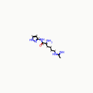 CC(=N)NCCCC[C@H](N)C(=O)Nc1cc[nH]n1